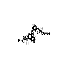 COCC(=O)Nc1cc(CO[C@@H]2CC[C@H](NC(=O)OC(C)(C)C)c3ccccc32)ccn1